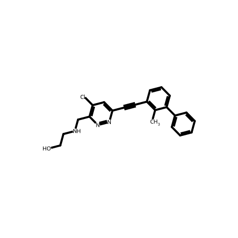 Cc1c(C#Cc2cc(Cl)c(CNCCO)nn2)cccc1-c1ccccc1